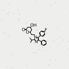 CC(C)c1nc(-c2ccccc2)c(-c2ccc(F)cc2)n1CCC1CC(O)CC(=O)O1